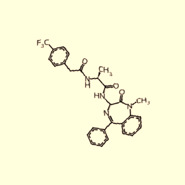 C[C@H](NC(=O)Cc1ccc(C(F)(F)F)cc1)C(=O)NC1N=C(c2ccccc2)c2ccccc2N(C)C1=O